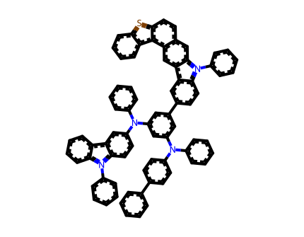 c1ccc(-c2ccc(N(c3ccccc3)c3cc(-c4ccc5c(c4)c4cc6c(ccc7sc8ccccc8c76)cc4n5-c4ccccc4)cc(N(c4ccccc4)c4ccc5c(c4)c4ccccc4n5-c4ccccc4)c3)cc2)cc1